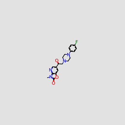 Cn1c(=O)oc2cc(C(=O)CN3CCN(c4ccc(F)cc4)CC3)cnc21